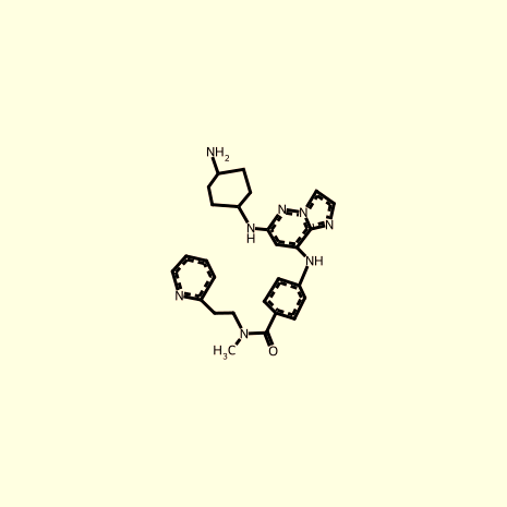 CN(CCc1ccccn1)C(=O)c1ccc(Nc2cc(NC3CCC(N)CC3)nn3ccnc23)cc1